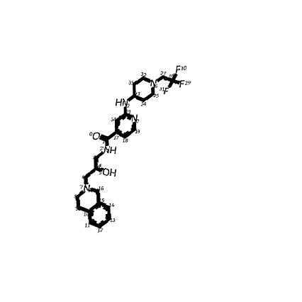 O=C(NCC(O)CN1CCc2ccccc2C1)c1ccnc(NC2CCN(CC(F)(F)F)CC2)c1